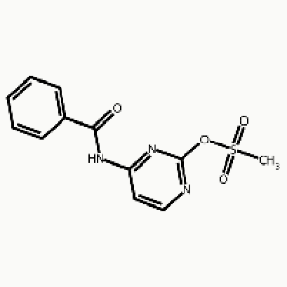 CS(=O)(=O)Oc1nccc(NC(=O)c2ccccc2)n1